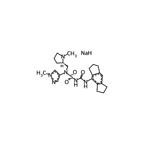 CN1CCC[C@@H]1CN(c1cnn(C)c1)S(=O)(=O)NC(=O)Nc1c2c(cc3c1CCC3)CCC2.[NaH]